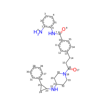 Nc1ccccc1NC(=O)c1ccc(CCC(=O)N2CCC(NC3CC3c3ccccc3)CC2)cc1